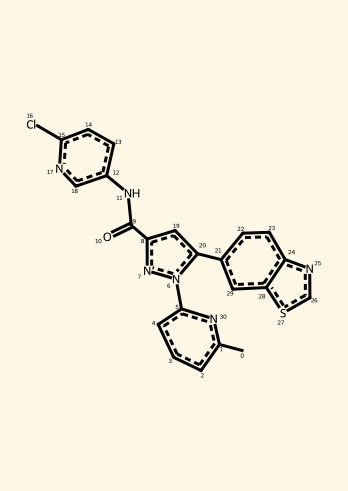 Cc1cccc(-n2nc(C(=O)Nc3ccc(Cl)nc3)cc2-c2ccc3ncsc3c2)n1